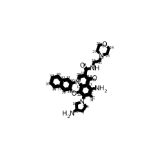 Nc1c(F)c(N2CCC(N)C2)c2c3c1c(=O)c(C(=O)NCCN1CCOCC1)cn3-c1cc3ccccc3cc1O2